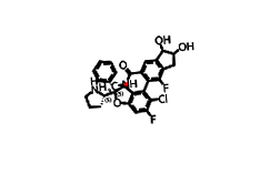 CNC(=O)c1cc2c(c(F)c1-c1c(Cl)c(F)cc3c1C[C@](c1ccccc1)([C@@H]1CCCN1)O3)CC(O)C2O